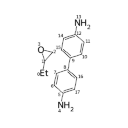 CCC1CO1.Nc1ccc(-c2ccc(N)cc2)cc1